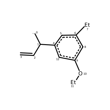 [CH2]C(C=C)c1cc(CC)cc(OCC)c1